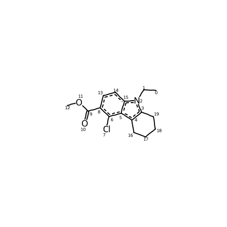 CCn1c2c(c3c(Cl)c(C(=O)OC)ccc31)CCCC2